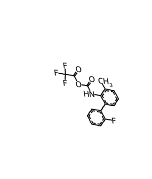 Cc1cccc(-c2ccccc2F)c1NC(=O)OC(=O)C(F)(F)F